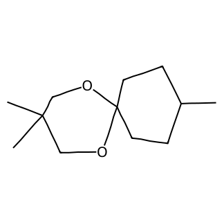 CC1CCC2(CC1)OCC(C)(C)CO2